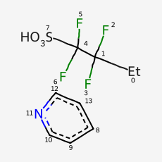 CCC(F)(F)C(F)(F)S(=O)(=O)O.c1ccncc1